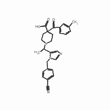 Cc1cccc(C(=O)C2(C(=O)O)CCN(C(C)c3cncn3Cc3ccc(C#N)cc3)CC2)c1